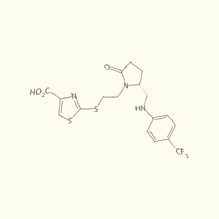 O=C(O)c1csc(SCCN2C(=O)CC[C@@H]2CNc2ccc(C(F)(F)F)cc2)n1